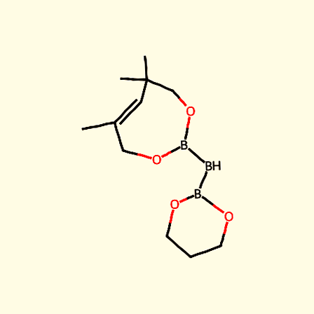 C/C1=C\C(C)(C)COB(BB2OCCCO2)OC1